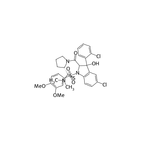 COc1ccc(S(=O)(=O)N2c3ccc(Cl)cc3C(O)(c3ccccc3Cl)C2C(=O)N2CCC[C@H]2C(=S)N(C)C)cc1OC